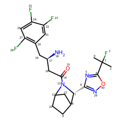 CC(C)(F)c1nc([C@@H]2C3CCC(C3)N2C(=O)C[C@H](N)Cc2cc(F)c(F)cc2F)no1